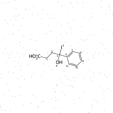 O=C(O)CCC(O)(I)c1ccccc1